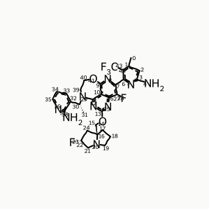 Cc1cc(N)nc(-c2nc3c4c(nc(OC[C@@]56CCCN5C[C@H](F)C6)nc4c2F)N([C@H](C)c2cccnc2N)CCO3)c1C(F)(F)F